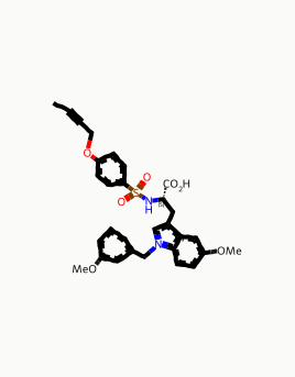 CC#CCOc1ccc(S(=O)(=O)N[C@@H](Cc2cn(Cc3cccc(OC)c3)c3ccc(OC)cc23)C(=O)O)cc1